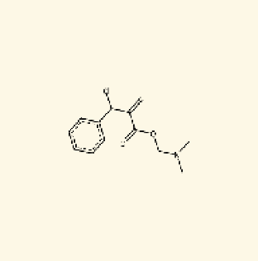 C=C(C(=O)OCN(C)C)C(Cl)c1ccccc1